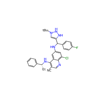 CC[C@@H](Nc1c(C#N)cnc2c(Cl)cc(NC(C3=CN(C(C)(C)C)NN3)c3ccc(F)cc3)cc12)c1ccccc1